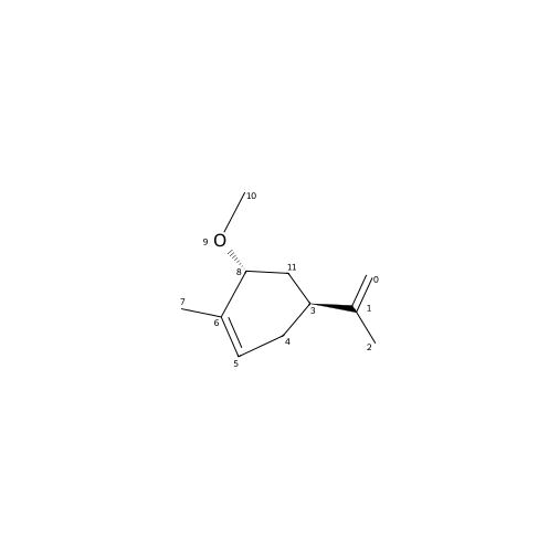 C=C(C)[C@H]1CC=C(C)[C@H](OC)C1